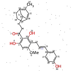 COc1cc(O)c(C(=O)CCC2CC3=C(C)C=C2CCC3)c(O)c1C/C=C/c1ccc(O)cc1